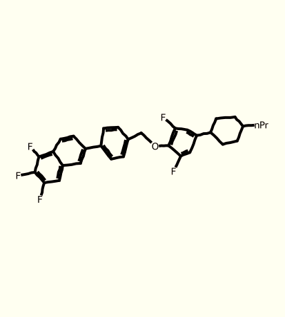 CCCC1CCC(c2cc(F)c(OCc3ccc(-c4ccc5c(F)c(F)c(F)cc5c4)cc3)c(F)c2)CC1